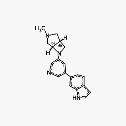 CN1C[C@@H]2CN(c3cncc(-c4ccc5cc[nH]c5c4)c3)[C@@H]2C1